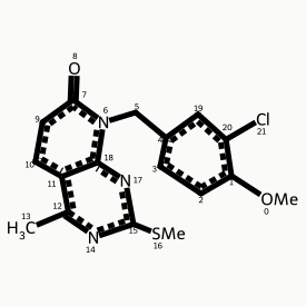 COc1ccc(Cn2c(=O)ccc3c(C)nc(SC)nc32)cc1Cl